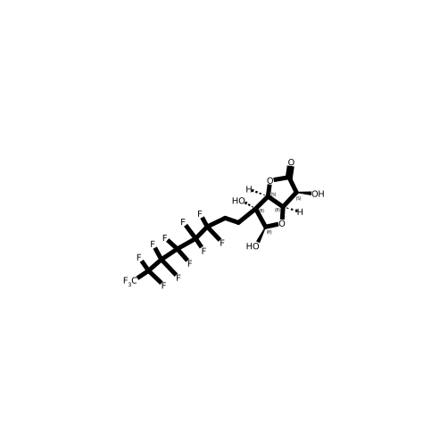 O=C1O[C@H]2[C@H](O[C@@H](O)[C@@]2(O)CCC(F)(F)C(F)(F)C(F)(F)C(F)(F)C(F)(F)C(F)(F)F)[C@@H]1O